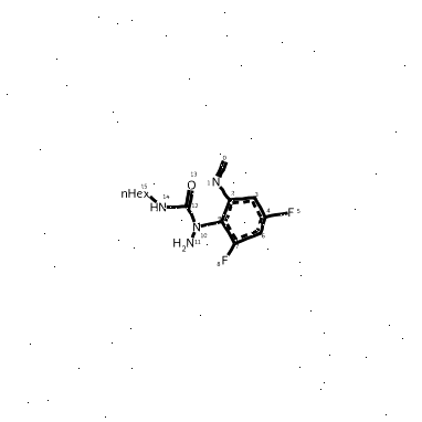 C=Nc1cc(F)cc(F)c1N(N)C(=O)NCCCCCC